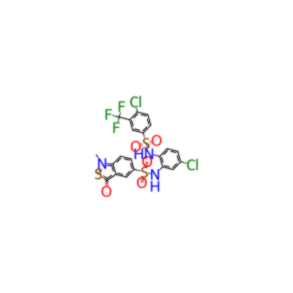 Cn1sc(=O)c2cc(S(=O)(=O)Nc3cc(Cl)ccc3NS(=O)(=O)c3ccc(Cl)c(C(F)(F)F)c3)ccc21